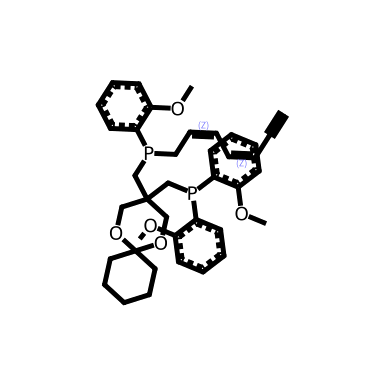 C#C/C=C\C=C/CP(CC1(CP(c2ccccc2OC)c2ccccc2OC)COC2(CCCCC2)OC1)c1ccccc1OC